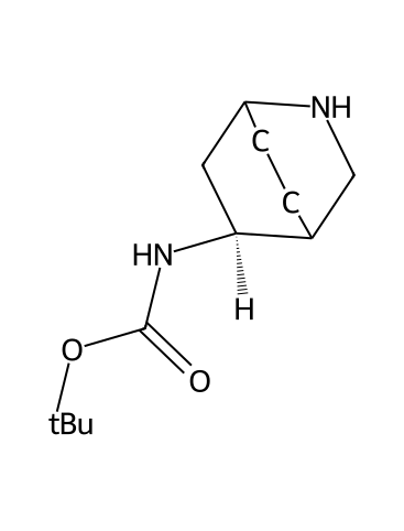 CC(C)(C)OC(=O)N[C@H]1CC2CCC1CN2